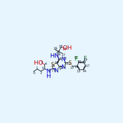 CCCC(CO)Nc1nc2nc(SCc3cccc(F)c3F)nc(NC(C)(C)CO)c2s1